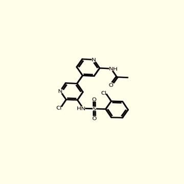 CC(=O)Nc1cc(-c2cnc(Cl)c(NS(=O)(=O)c3ccccc3Cl)c2)ccn1